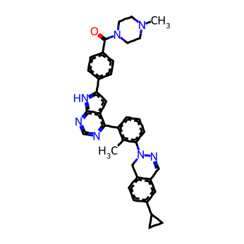 Cc1c(-c2ncnc3[nH]c(-c4ccc(C(=O)N5CCN(C)CC5)cc4)cc23)cccc1N1Cc2ccc(C3CC3)cc2C=N1